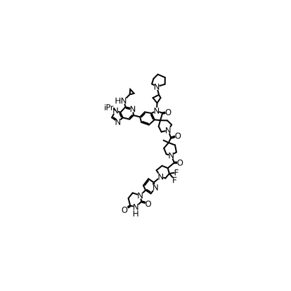 CC(C)n1cnc2cc(-c3ccc4c(c3)N(C3CC(N5CCCCC5)C3)C(=O)C43CCN(C(=O)C4(C)CCN(C(=O)C5CCN(c6ccc(N7CCC(=O)NC7=O)cn6)CC5(F)F)CC4)CC3)nc(NC3CC3)c21